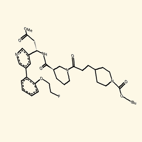 COC(=O)C[C@H](NC(=O)[C@@H]1CCCN(C(=O)CCC2CCN(C(=O)OC(C)(C)C)CC2)C1)c1cncc(-c2ccccc2OCCF)c1